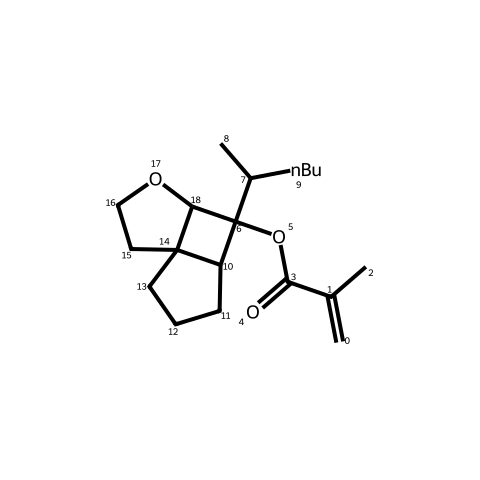 C=C(C)C(=O)OC1(C(C)CCCC)C2CCCC23CCOC31